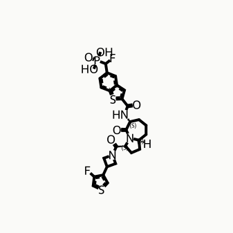 O=C(N[C@H]1CCC[C@H]2CC[C@@H](C(=O)N3CC(c4cscc4F)C3)N2C1=O)c1cc2cc(C(F)P(=O)(O)O)ccc2s1